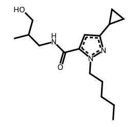 CCCCCn1nc(C2CC2)cc1C(=O)NCC(C)CO